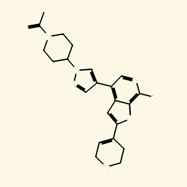 CC(=O)N1CCC(n2cc(-c3cnc(N)c4oc(C5=CCNCC5)cc34)cn2)CC1